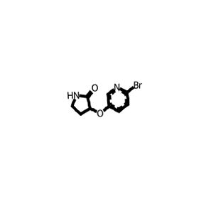 O=C1NCCC1Oc1ccc(Br)nc1